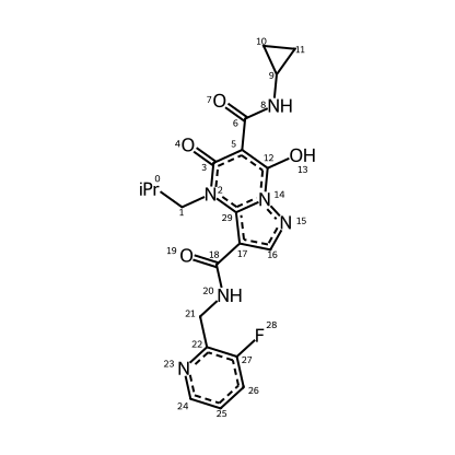 CC(C)Cn1c(=O)c(C(=O)NC2CC2)c(O)n2ncc(C(=O)NCc3ncccc3F)c12